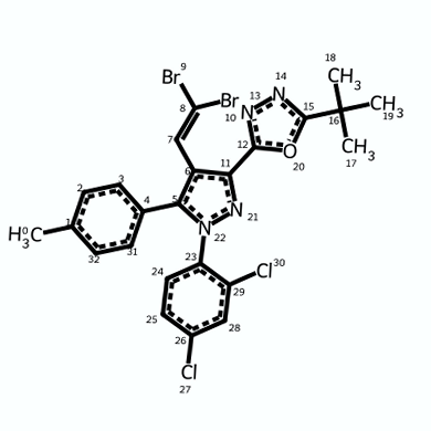 Cc1ccc(-c2c(C=C(Br)Br)c(-c3nnc(C(C)(C)C)o3)nn2-c2ccc(Cl)cc2Cl)cc1